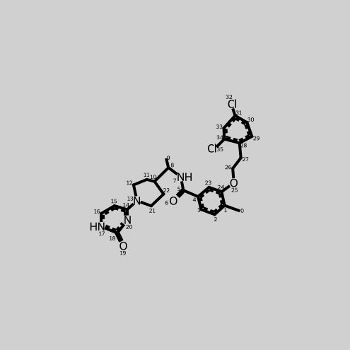 Cc1ccc(C(=O)NC(C)C2CCN(c3cc[nH]c(=O)n3)CC2)cc1OCCc1ccc(Cl)cc1Cl